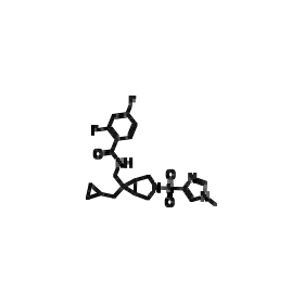 Cn1cnc(S(=O)(=O)N2CC3C(C2)C3(CNC(=O)c2ccc(F)cc2F)CC2CC2)c1